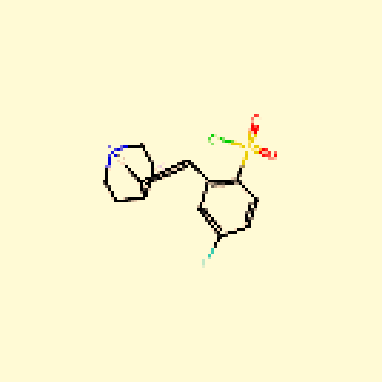 O=S(=O)(Cl)c1ccc(F)cc1/C=C1/CN2CCC1CC2